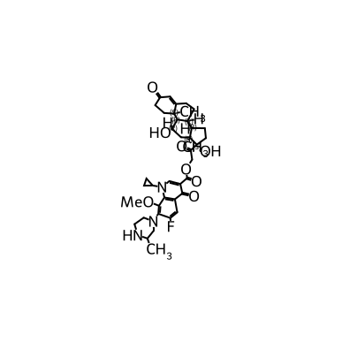 COc1c(N2CCNC(C)C2)c(F)cc2c(=O)c(C(=O)OCC(=O)[C@]3(O)CC[C@@H]4[C@H]5CCC6=CC(=O)CC[C@@]6(C)[C@@H]5[C@H](O)C[C@]43C)cn(C3CC3)c12